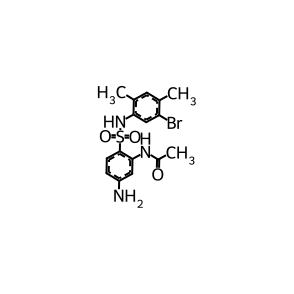 CC(=O)Nc1cc(N)ccc1S(=O)(=O)Nc1cc(Br)c(C)cc1C